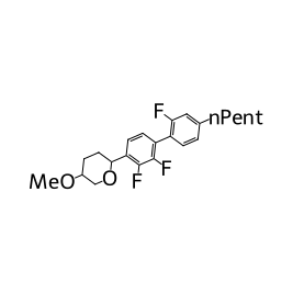 CCCCCc1ccc(-c2ccc(C3CCC(OC)CO3)c(F)c2F)c(F)c1